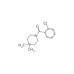 C[Si]1(C)CCN(C(=O)c2ccccc2Cl)CC1